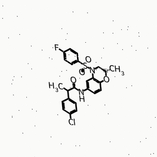 CC(C(=O)Nc1ccc2c(c1)N(S(=O)(=O)c1ccc(F)cc1)C[C@H](C)O2)c1ccc(Cl)cc1